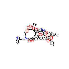 CCC(=O)O[C@@H]1CC(=O)O[C@H](C)CCN(CCCc2ccnc3ccccc23)C[C@H](O)[C@H](C)C[C@H](CC(OC)OC)[C@H]([C@@H]2O[C@H](C)[C@@H](O[C@@H]3C[C@@](C)(OC(C)=O)[C@@H](OC(=O)CC)[C@H](C)O3)[C@H](N(C)C)[C@H]2O)[C@@H]1OC